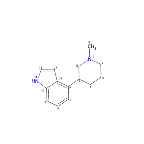 CN1CCCC(c2cccc3[nH]ccc23)C1